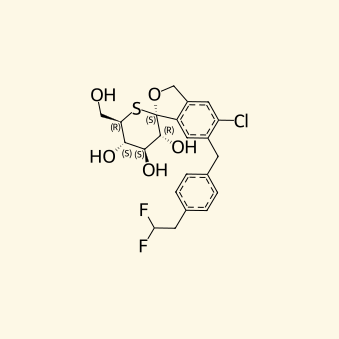 OC[C@H]1S[C@]2(OCc3cc(Cl)c(Cc4ccc(CC(F)F)cc4)cc32)[C@H](O)[C@@H](O)[C@@H]1O